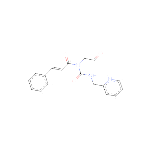 O=[C]CN(C(=O)/C=C/c1ccccc1)C(=O)NCc1ccccn1